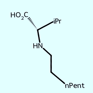 CCCCCCCN[C@H](C(=O)O)C(C)C